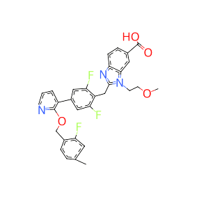 COCCn1c(Cc2c(F)cc(-c3cccnc3OCc3ccc(C)cc3F)cc2F)nc2ccc(C(=O)O)cc21